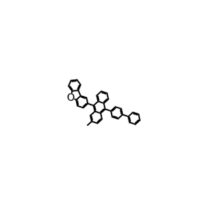 Cc1ccc2c(-c3ccc(-c4ccccc4)cc3)c3ccccc3c(-c3ccc4oc5ccccc5c4c3)c2c1